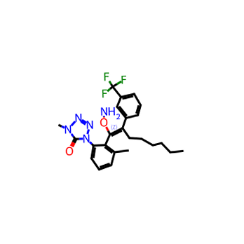 CCCCCC/C(=C(/ON)c1c(C)cccc1-n1nnn(C)c1=O)c1cccc(C(F)(F)F)c1